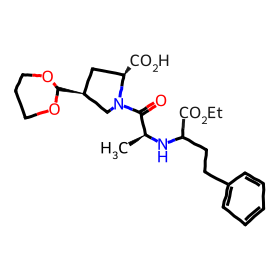 CCOC(=O)C(CCc1ccccc1)N[C@@H](C)C(=O)N1C[C@@H](C2OCCCO2)C[C@H]1C(=O)O